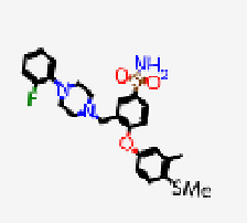 CSc1ccc(Oc2ccc(S(N)(=O)=O)cc2CN2CCN(c3ccccc3F)CC2)cc1C